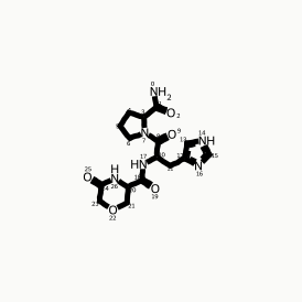 NC(=O)C1CCCN1C(=O)C(Cc1c[nH]cn1)NC(=O)C1COCC(=O)N1